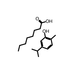 CCCCCCCC(=O)O.Cc1ccc(C(C)C)cc1O